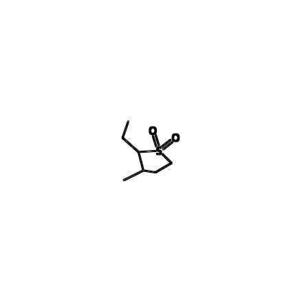 CCC1C(C)CCS1(=O)=O